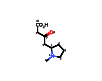 CN1CCCC1CC(=O)CC(=O)O